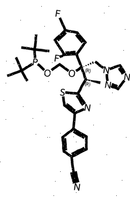 C[C@@H](c1nc(-c2ccc(C#N)cc2)cs1)[C@@](Cn1cncn1)(OCOP(C(C)(C)C)C(C)(C)C)c1ccc(F)cc1F